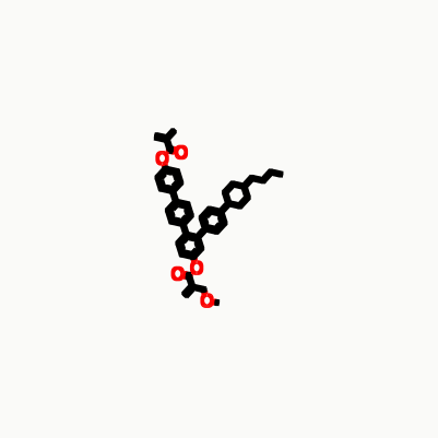 C=C(C)C(=O)Oc1ccc(-c2ccc(-c3ccc(OC(=O)C(=C)COC)cc3-c3ccc(C4CCC(CCCC)CC4)cc3)cc2)cc1